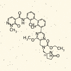 CCOC(=O)N(Cc1ncc(-c2cccc(-c3cccc(NC(=O)c4ccnn(C)c4=O)c3C)c2Cl)nc1OC)C[C@@H]1CCC(=O)N1